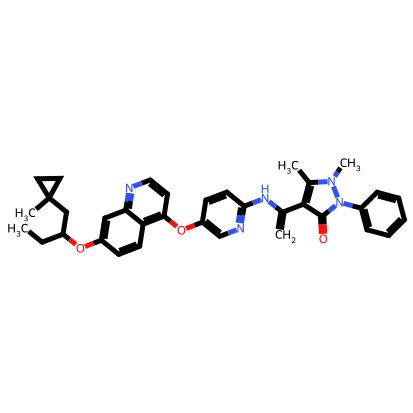 C=C(Nc1ccc(Oc2ccnc3cc(OC(CC)CC4(C)CC4)ccc23)cn1)c1c(C)n(C)n(-c2ccccc2)c1=O